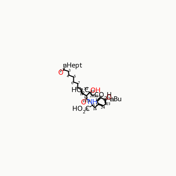 CCCCCCCC(=O)CCCCCC/C=C/[C@H](C(=O)N[C@@H](Cc1ccc(OCCCC)cc1)C(=O)O)[C@@](O)(CC(=O)O)C(=O)O